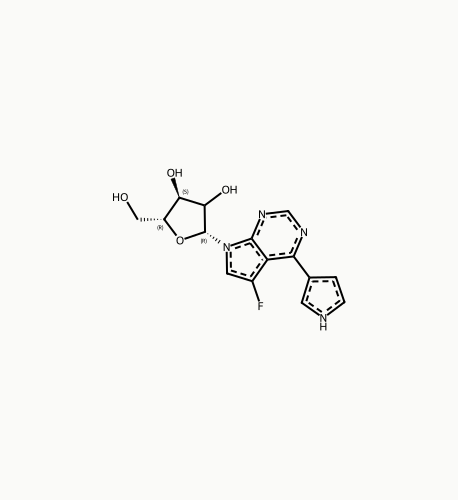 OC[C@H]1O[C@@H](n2cc(F)c3c(-c4cc[nH]c4)ncnc32)C(O)[C@@H]1O